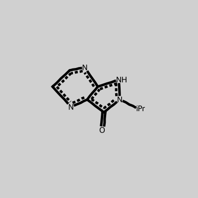 CC(C)n1[nH]c2nccnc2c1=O